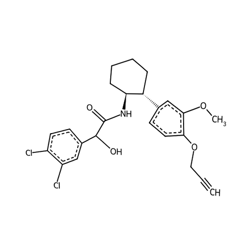 C#CCOc1ccc([C@H]2CCCC[C@@H]2NC(=O)C(O)c2ccc(Cl)c(Cl)c2)cc1OC